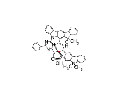 CC1(C)c2ccccc2-c2cc3c4ccccc4n(-c4nc(-c5ccccc5)nc(-c5ccccc5)n4)c3c(-c3ccc4c(c3)=C3C=C5c6ccccc6[N+](C)(C)C5C=C3C=4C(=O)O)c21